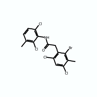 Cc1ccc(Cl)c(NC(=O)Cc2c(Cl)[c]c(Cl)c(C)c2Br)c1Cl